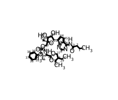 CCCC(=O)Nc1ncnn2c([C@@H]3O[C@](CF)(COP(=O)(N[C@@H](C)C(=O)OCC(CC)CC)Oc4ccccc4)[C@@H](O)[C@H]3O)ccc12